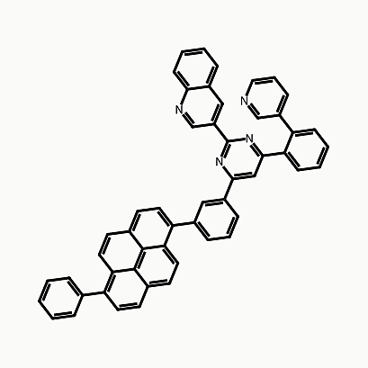 c1ccc(-c2ccc3ccc4c(-c5cccc(-c6cc(-c7ccccc7-c7cccnc7)nc(-c7cnc8ccccc8c7)n6)c5)ccc5ccc2c3c54)cc1